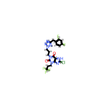 O=c1c2[nH]c(Cl)nc2n(CCC(F)(F)F)c(=O)n1CCCn1nnc(Cc2ccc(F)cc2F)n1